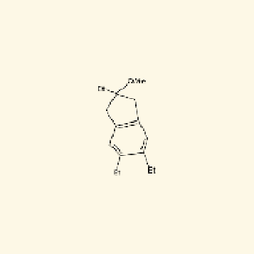 CCc1cc2c(cc1CC)CC(CC)(OC)C2